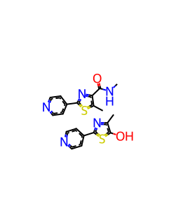 CNC(=O)c1nc(-c2ccncc2)sc1C.Cc1nc(-c2ccncc2)sc1O